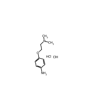 CN(C)CCOc1ccc(N)cc1.Cl.Cl